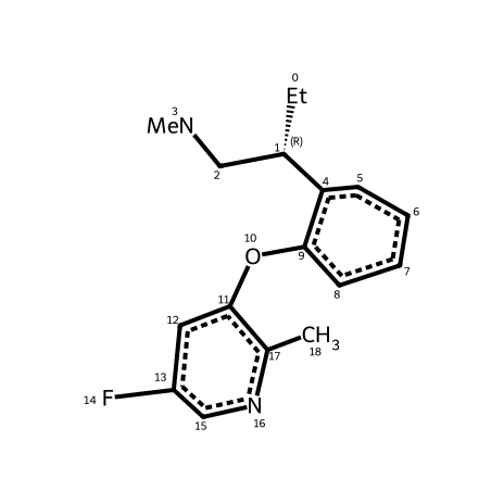 CC[C@@H](CNC)c1ccccc1Oc1cc(F)cnc1C